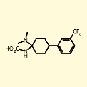 CN(C)C1(NC(=O)O)CCC(c2cccc(C(F)(F)F)c2)CC1